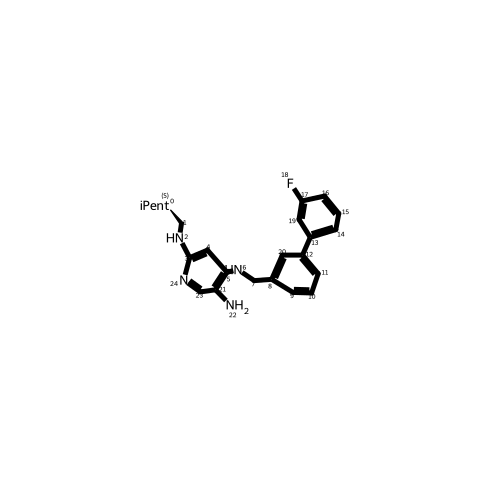 CCC[C@H](C)CNc1cc(NCc2cccc(-c3cccc(F)c3)c2)c(N)cn1